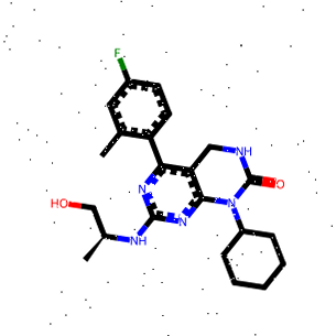 Cc1cc(F)ccc1-c1nc(N[C@@H](C)CO)nc2c1CNC(=O)N2C1CCCCC1